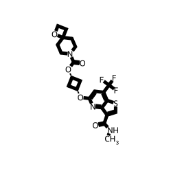 CNC(=O)c1csc2c(C(F)(F)F)cc(O[C@H]3C[C@@H](OC(=O)N4CCC5(CCO5)CC4)C3)nc12